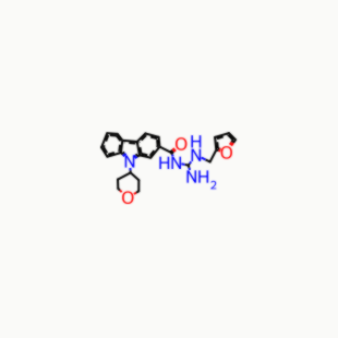 NC(NCc1ccco1)NC(=O)c1ccc2c3ccccc3n(C3CCOCC3)c2c1